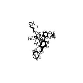 CCCCOC(O)NS(=O)(=O)c1ccc(OC(F)(F)F)cc1-c1ccc(CN2CCOCC2)cn1